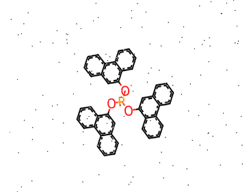 c1ccc2c(c1)cc(OP(Oc1cc3ccccc3c3ccccc13)Oc1cc3ccccc3c3ccccc13)c1ccccc12